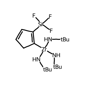 CC(C)(C)[NH][Zr]([NH]C(C)(C)C)([NH]C(C)(C)C)[C]1=C([Si](F)(F)F)C=CC1